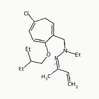 C=C/C(C)=N\N(CC)CC1=CCC(Cl)=CC=C1OCC(CC)CC